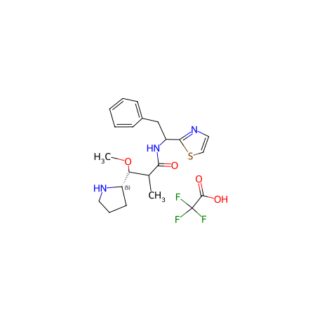 COC(C(C)C(=O)NC(Cc1ccccc1)c1nccs1)[C@@H]1CCCN1.O=C(O)C(F)(F)F